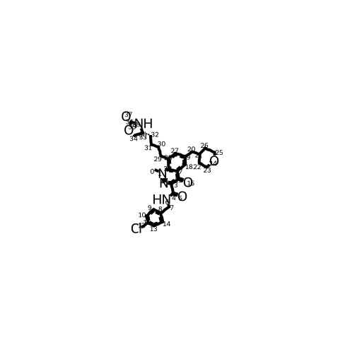 Cn1nc(C(=O)NCc2ccc(Cl)cc2)c(=O)c2cc(CC3CCOCC3)cc(CCCC[C@@H]3COC(=O)N3)c21